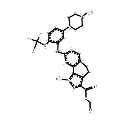 CCOC(=O)c1nn(C)c2c1CCc1cnc(Nc3cc(N4CCN(C)CC4)ccc3OC(F)(F)F)nc1-2